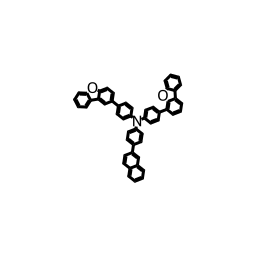 c1ccc2cc(-c3ccc(N(c4ccc(-c5ccc6oc7ccccc7c6c5)cc4)c4ccc(-c5cccc6c5oc5ccccc56)cc4)cc3)ccc2c1